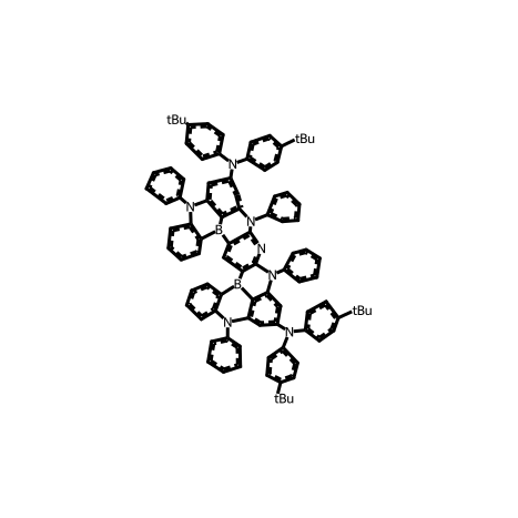 CC(C)(C)c1ccc(N(c2ccc(C(C)(C)C)cc2)c2cc3c4c(c2)N(c2ccccc2)c2nc5c(cc2B4c2ccccc2N3c2ccccc2)B2c3ccccc3N(c3ccccc3)c3cc(N(c4ccc(C(C)(C)C)cc4)c4ccc(C(C)(C)C)cc4)cc(c32)N5c2ccccc2)cc1